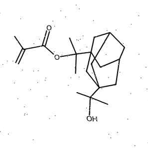 C=C(C)C(=O)OC(C)(C)C12CC3CC(CC(C(C)(C)O)(C3)C1)C2